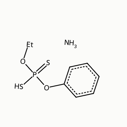 CCOP(=S)(S)Oc1ccccc1.N